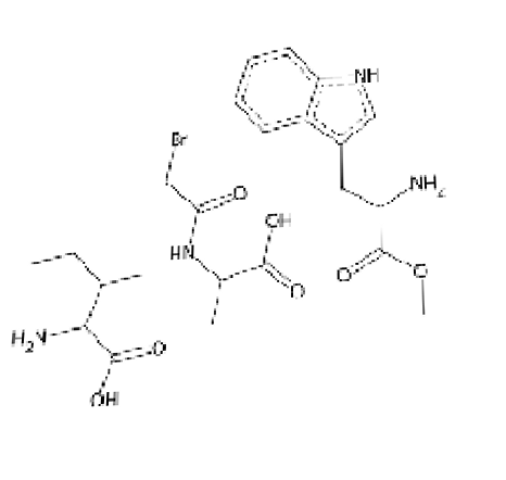 CC(NC(=O)CBr)C(=O)O.CCC(C)C(N)C(=O)O.COC(=O)C(N)Cc1c[nH]c2ccccc12